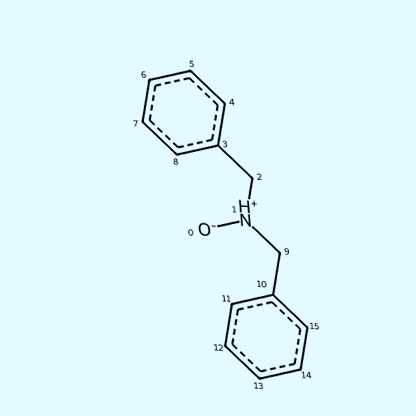 [O-][NH+](Cc1ccccc1)Cc1ccccc1